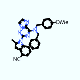 COc1ccc(CN(Cc2ccccc2)c2nc(-n3c(C)cc4c(C#N)cccc43)nn3ccnc23)cc1